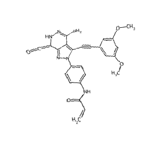 C=CC(=O)Nc1ccc(-n2nc3c(c2C#Cc2cc(OC)cc(OC)c2)C(N)=NNC3=C=O)cc1